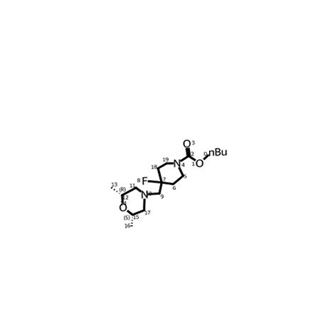 CCCCOC(=O)N1CCC(F)(CN2C[C@@H](C)O[C@@H](C)C2)CC1